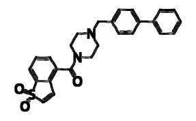 O=C(c1cccc2c1C=CS2(=O)=O)N1CCN(Cc2ccc(-c3ccccc3)cc2)CC1